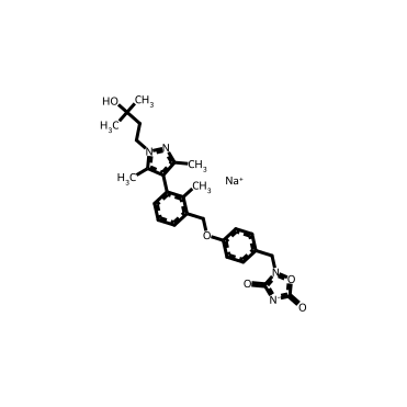 Cc1nn(CCC(C)(C)O)c(C)c1-c1cccc(COc2ccc(Cn3oc(=O)[n-]c3=O)cc2)c1C.[Na+]